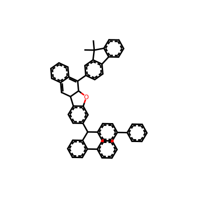 CC1(C)c2ccccc2-c2ccc(C3=c4ccccc4=CC4c5ccc(C(c6ccc(-c7ccccc7)cc6)c6ccccc6-c6ccccc6)cc5OC34)cc21